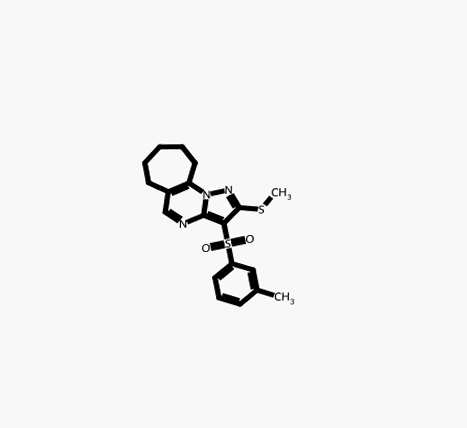 CSc1nn2c3c(cnc2c1S(=O)(=O)c1cccc(C)c1)CCCCC3